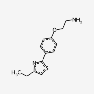 CCc1csc(-c2ccc(OCCN)cc2)n1